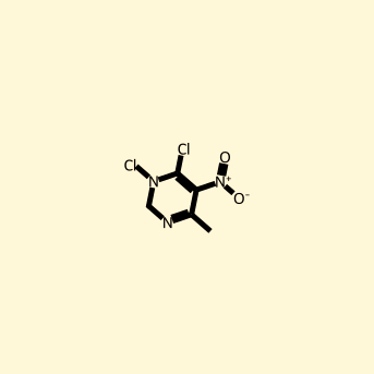 CC1=NCN(Cl)C(Cl)=C1[N+](=O)[O-]